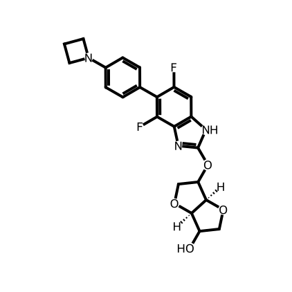 OC1CO[C@@H]2C(Oc3nc4c(F)c(-c5ccc(N6CCC6)cc5)c(F)cc4[nH]3)CO[C@H]12